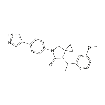 COc1cccc(C(C)N2C(=O)N(c3ccc(-c4cn[nH]c4)cc3)CC23CC3)c1